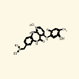 CCN(CC)Cc1ccc2c(c1)NC(=O)c1c(Nc3cc(O)c(C)cc3F)ccnc1N2.Cl